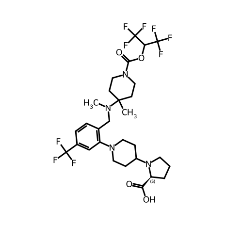 CN(Cc1ccc(C(F)(F)F)cc1N1CCC(N2CCC[C@H]2C(=O)O)CC1)C1(C)CCN(C(=O)OC(C(F)(F)F)C(F)(F)F)CC1